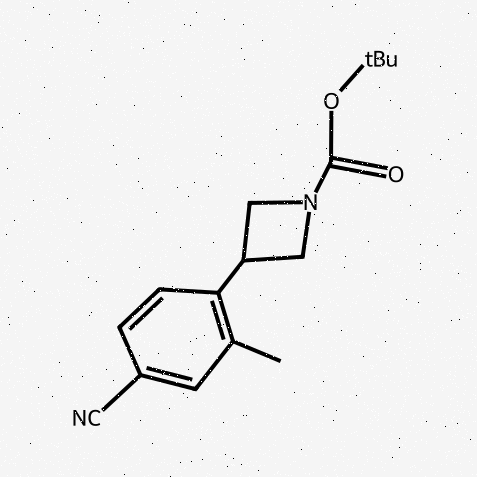 Cc1cc(C#N)ccc1C1CN(C(=O)OC(C)(C)C)C1